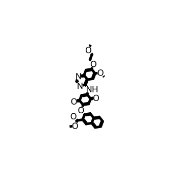 COCCOc1cc2ncnc(NC3=CC(=O)C(Oc4cc5ccccc5cc4C(=O)OC)=CC3=O)c2cc1OC